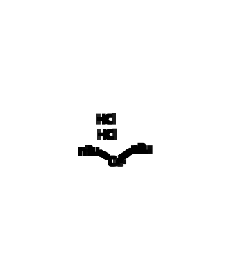 CCC[CH2][Ge][CH2]CCC.Cl.Cl